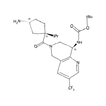 CC(C)[C@]1(C(=O)N2Cc3cc(C(F)(F)F)cnc3[C@H](NC(=O)OC(C)(C)C)C2)CC[C@@H](N)C1